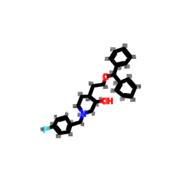 OC1CN(Cc2ccc(F)cc2)CCC1CCOC(c1ccccc1)c1ccccc1